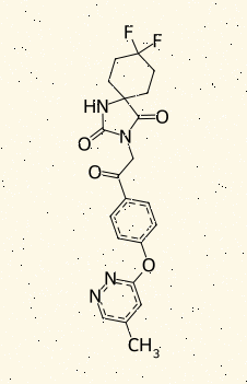 Cc1cnnc(Oc2ccc(C(=O)CN3C(=O)NC4(CCC(F)(F)CC4)C3=O)cc2)c1